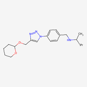 CC(C)C(C)NCc1ccc(-n2cc(COC3CCCCO3)nn2)cc1